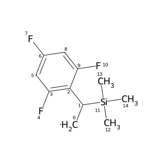 [CH2]C(c1c(F)cc(F)cc1F)[Si](C)(C)C